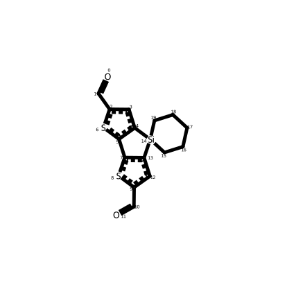 O=Cc1cc2c(s1)-c1sc(C=O)cc1[Si]21CCCCC1